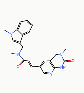 CN(Cc1cn(C)c2ccccc12)C(=O)C=Cc1cnc2c(c1)CN(C)C(=O)N2